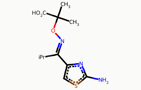 CC(C)/C(=N\OC(C)(C)C(=O)O)c1csc(N)n1